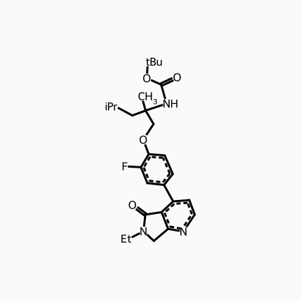 CCN1Cc2nccc(-c3ccc(OCC(C)(CC(C)C)NC(=O)OC(C)(C)C)c(F)c3)c2C1=O